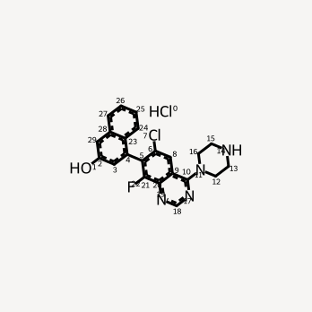 Cl.Oc1cc(-c2c(Cl)cc3c(N4CCNCC4)ncnc3c2F)c2ccccc2c1